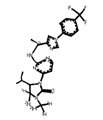 [2H]C([2H])([2H])N1C(=O)N(c2ccnc(N[C@@H](C)c3cn(-c4ccc(C(F)(F)F)cc4)cn3)n2)C(C(C)C)C1([2H])[2H]